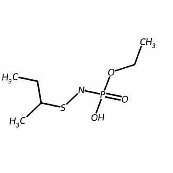 CCOP(=O)(O)[N]SC(C)CC